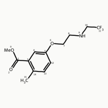 COC(=O)c1cc(OCCNCC(F)(F)F)ccc1C